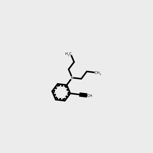 C#Cc1ccccc1N(CCC)CCC